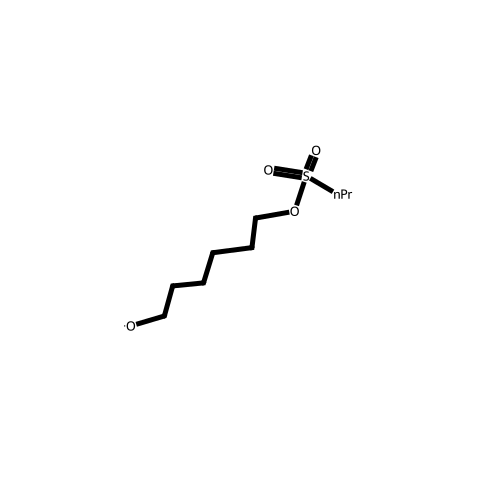 CCCS(=O)(=O)OCCCCCC[O]